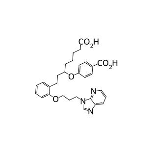 O=C(O)CCCCC(CCc1ccccc1OCCCn1cnc2cccnc21)Oc1ccc(C(=O)O)cc1